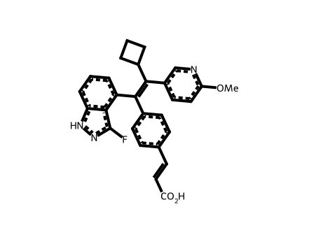 COc1ccc(C(=C(c2ccc(C=CC(=O)O)cc2)c2cccc3[nH]nc(F)c23)C2CCC2)cn1